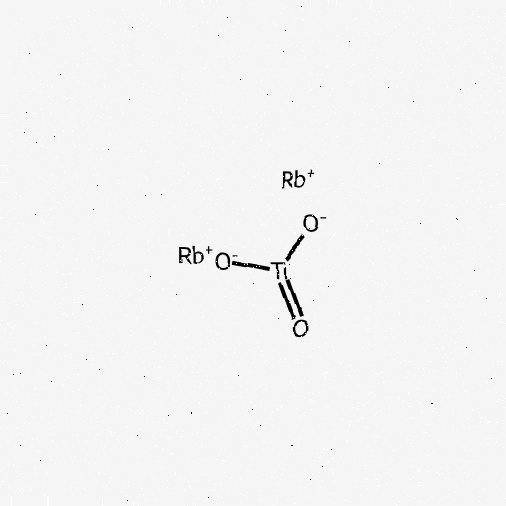 [O]=[Ti]([O-])[O-].[Rb+].[Rb+]